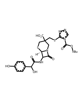 CCCCOC(=O)n1cnnc1SCC1(C(=O)O)CS[C@@H]2C(NC(=O)C(O)c3ccc(O)cc3)C(=O)N2C1